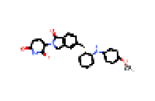 O=C1CCC(N2Cc3cc(C[C@H]4CCCC[C@@H]4NC4CCC(OC(F)(F)F)CC4)ccc3C2=O)C(=O)N1